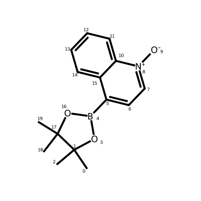 CC1(C)OB(c2cc[n+]([O-])c3ccccc23)OC1(C)C